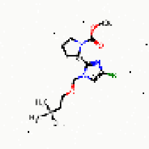 CC(C)(C)OC(=O)N1CCC[C@@H]1c1nc(Br)cn1COCC[Si](C)(C)C